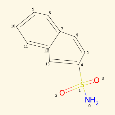 NS(=O)(=O)c1c[c]c2ccccc2c1